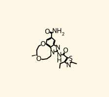 CCc1nc(C)sc1C(=O)Nc1nc2cc(C(N)=O)cc3c2n1CCCO[C@@H](C)CCO3